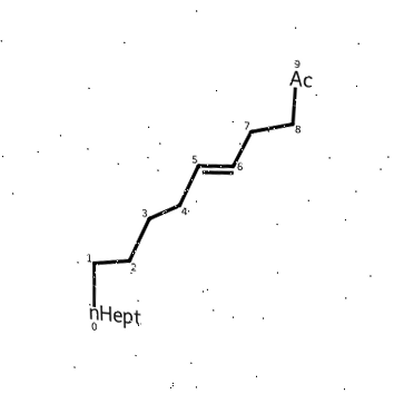 CCCCCCCCCCC/C=C/CCC(C)=O